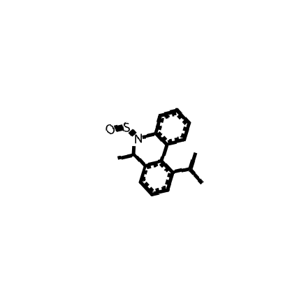 CC(C)c1cccc(C(C)C)c1-c1ccccc1N=S=O